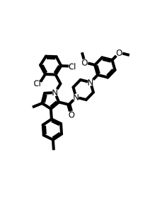 COc1ccc(N2CCN(C(=O)c3c(-c4ccc(C)cc4)c(C)cn3Cc3c(Cl)cccc3Cl)CC2)c(OC)c1